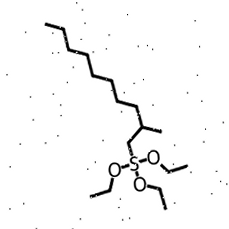 CCCCCCCCC(C)CS(OCC)(OCC)OCC